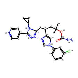 CC(C)(C[C@H](Cc1nnc(-c2ccncc2)n1C1CC1)c1cn(-c2cccc(Cl)c2)cn1)OC(N)=O